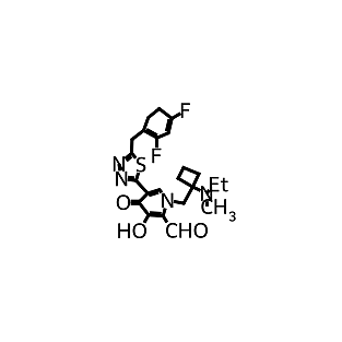 CCN(C)C1(Cn2cc(-c3nnc(CC4=C(F)C=C(F)CC4)s3)c(=O)c(O)c2C=O)CCC1